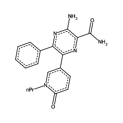 CCCn1cc(-c2nc(C(N)=O)c(N)nc2-c2ccccc2)ccc1=O